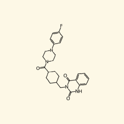 O=C(C1CCC(Cn2c(=O)[nH]c3ccccc3c2=O)CC1)N1CCN(c2ccc(F)cc2)CC1